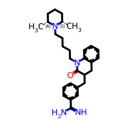 C[C@@H]1CCC[C@H](C)N1CCCCCN1C(=O)C(Cc2cccc(C(=N)N)c2)Cc2ccccc21